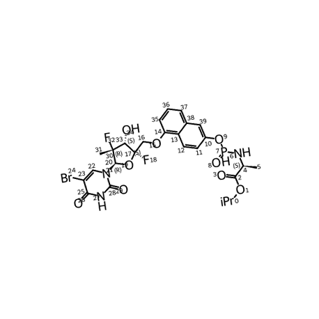 CC(C)OC(=O)[C@H](C)N[PH](=O)Oc1ccc2c(OC[C@@]3(F)O[C@@H](n4cc(Br)c(=O)[nH]c4=O)[C@](C)(F)[C@@H]3O)cccc2c1